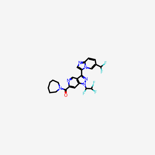 O=C(c1cc2c(cn1)c(-c1cnc3ccc(C(F)F)cn13)nn2C(F)C(F)F)N1CCCCCC1